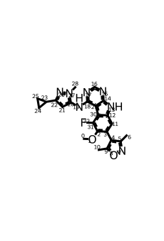 COc1c(-c2c(C)noc2C)cc2[nH]c3ncnc(Nc4cc(C5CC5)nn4C)c3c2c1F